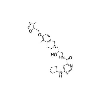 Cc1ncoc1COc1ccc2c(c1C)CCN(C[C@@H](O)CNC(=O)c1cc(NC3CCCC3)ncn1)C2